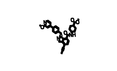 CC#Cc1ccc(C(=O)NC2CCC(C(=O)OC)CC2)c2c1cnn2Cc1ccc(-c2ccnc(OC)c2)cc1